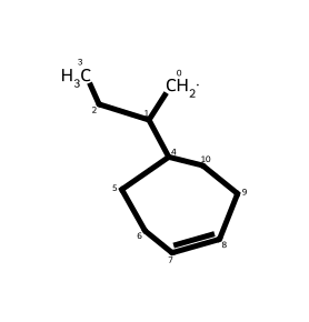 [CH2]C(CC)C1CCC=CCC1